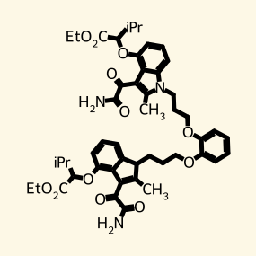 CCOC(=O)C(Oc1cccc2c1C(C(=O)C(N)=O)=C(C)C2CCCOc1ccccc1OCCCn1c(C)c(C(=O)C(N)=O)c2c(OC(C(=O)OCC)C(C)C)cccc21)C(C)C